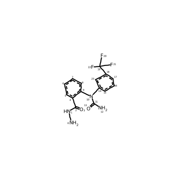 NNC(=O)c1ccccc1N(C(N)=O)c1cccc(C(F)(F)F)c1